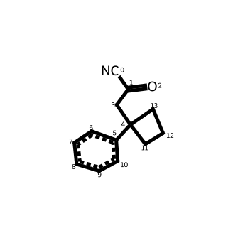 N#CC(=O)CC1(c2ccccc2)CCC1